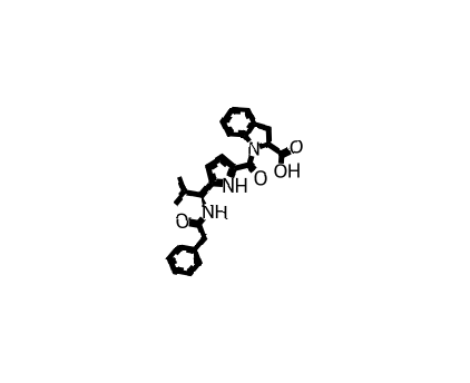 CC(C)[C@H](NC(=O)Cc1ccccc1)c1ccc(C(=O)N2c3ccccc3CC2C(=O)O)[nH]1